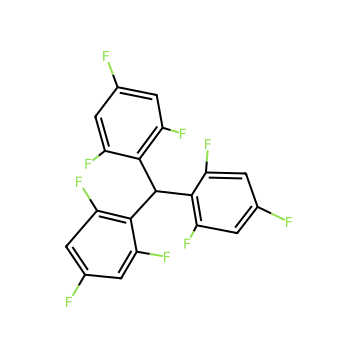 Fc1cc(F)c(C(c2c(F)cc(F)cc2F)c2c(F)cc(F)cc2F)c(F)c1